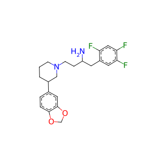 NC(CCN1CCCC(c2ccc3c(c2)OCO3)C1)Cc1cc(F)c(F)cc1F